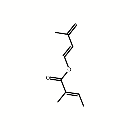 C=C(C)C=COC(=O)C(C)=CC